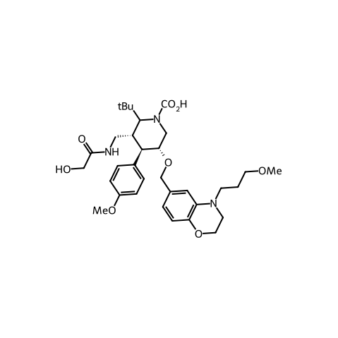 COCCCN1CCOc2ccc(CO[C@H]3CN(C(=O)O)C(C(C)(C)C)[C@@H](CNC(=O)CO)[C@@H]3c3ccc(OC)cc3)cc21